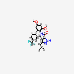 COc1ccc(N2C(=O)c3[nH]nc(CC(C)C)c3C2c2cccc(C(F)(F)F)c2)c(OC)c1